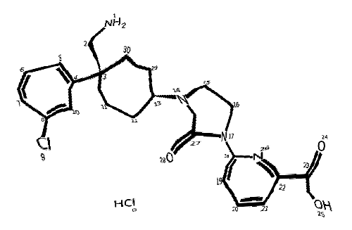 Cl.NC[C@]1(c2cccc(Cl)c2)CC[C@H](N2CCN(c3cccc(C(=O)O)n3)C2=O)CC1